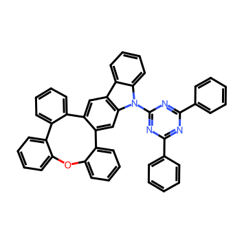 c1ccc(-c2nc(-c3ccccc3)nc(-n3c4ccccc4c4cc5c(cc43)c3ccccc3oc3ccccc3c3ccccc35)n2)cc1